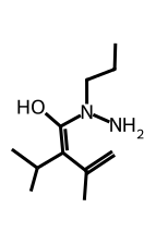 C=C(C)/C(=C(/O)N(N)CCC)C(C)C